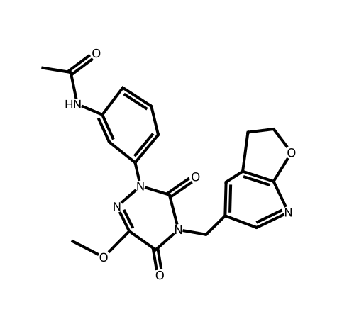 COc1nn(-c2cccc(NC(C)=O)c2)c(=O)n(Cc2cnc3c(c2)CCO3)c1=O